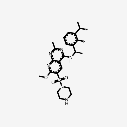 COc1nc2nc(C)nc(N[C@H](C)c3cccc(C(C)F)c3F)c2cc1S(=O)(=O)N1CCNCC1